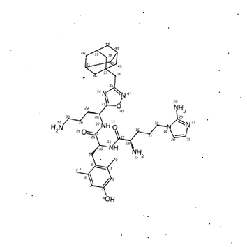 Cc1cc(O)cc(C)c1C[C@H](NC(=O)[C@H](N)CCCn1ccnc1N)C(=O)N[C@@H](CCCN)c1nc(CC23CC4CC(CC(C4)C2)C3)no1